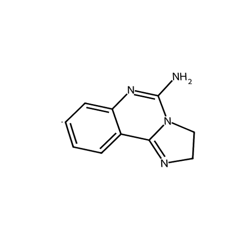 NC1=Nc2c[c]ccc2C2=NCCN12